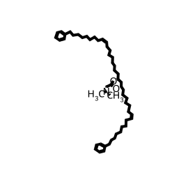 CN(C)CC(=O)OC(CCCCCCCC/C=C\CCCCCCCCc1ccccc1)CCCCCCCC/C=C\CCCCCCCCc1ccccc1